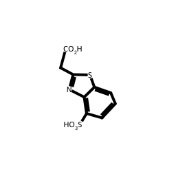 O=C(O)Cc1nc2c(S(=O)(=O)O)cccc2s1